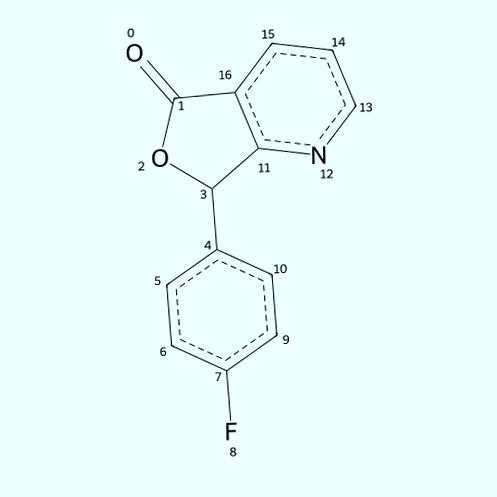 O=C1OC(c2ccc(F)cc2)c2ncccc21